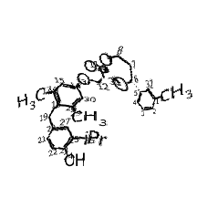 Cc1cccc([C@H]2CCO[P@](=O)(COc3cc(C)c(Cc4ccc(O)c(C(C)C)c4)c(C)c3)O2)c1